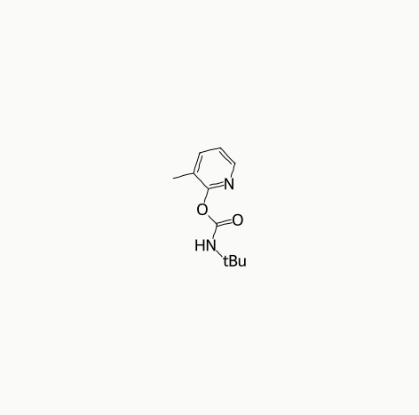 Cc1cccnc1OC(=O)NC(C)(C)C